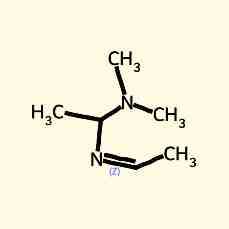 C/C=N\C(C)N(C)C